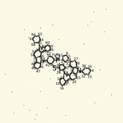 O=P1(c2ccccc2)c2ccc(-n3c4ccccc4c4ccc5c(c6ccccc6n5-c5ccccc5)c43)cc2Sc2cc(-n3c4ccccc4c4ccc5c(c6ccccc6n5-c5ccccc5)c43)ccc21